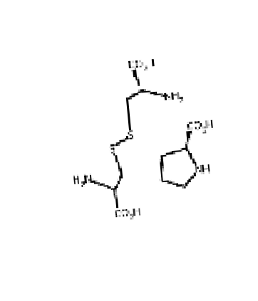 NC(CSSC[C@H](N)C(=O)O)C(=O)O.O=C(O)[C@@H]1CCCN1